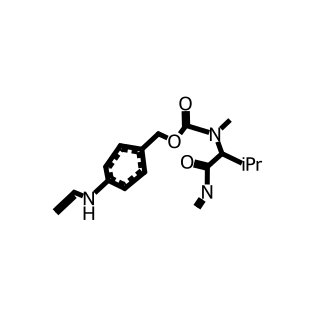 C=CNc1ccc(COC(=O)N(C)C(C(=O)N=C)C(C)C)cc1